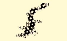 COc1cc2nc(C)cc(N[C@H](C)c3cc(C(=O)OC(C)(C)C)cc(C(F)(F)F)c3)c2cc1C1CCC(C(=O)N2CCC(CCOCC3CCNCC3)CC2)CC1